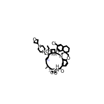 CCO[C@]1(CN2CCN(C3COC3)CC2)/C=C/C[C@H](C)[C@@H](C)S(=O)(=O)NC(=O)c2ccc3c(c2)N(C[C@@H]2CC[C@H]21)C[C@@]1(CCCc2cc(Cl)ccc21)CO3